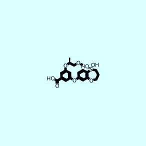 COC[C@H](C)Oc1cc(Oc2ccc3c(c2)OCCCS3(O)O)cc(C(=O)O)c1